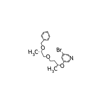 C[C@@H](COCC[C@H](C)Oc1cncc(Br)c1)OCc1ccccc1